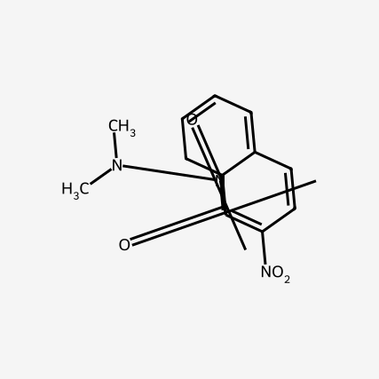 CN(C)N1C(=O)CC2=C([N+](=O)[O-])C=CC3=CC=CCC32C1=O